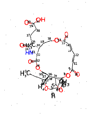 CC1=C[C@H]2O[C@@H]3C[C@H]4OC(=O)/C=C\C=C\C(=O)OCC[C@@H](C)[C@@H](NC(=O)CCCC(=O)O)C(=O)OC[C@@]2(CC1)[C@]4(C)[C@]31CO1